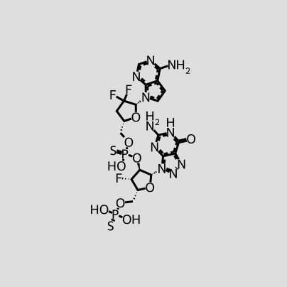 Nc1nc2c(nnn2[C@@H]2O[C@H](COP(O)(O)=S)[C@H](F)[C@H]2OP(O)(=S)OC[C@@H]2CC(F)(F)[C@H](n3ccc4c(N)ncnc43)O2)c(=O)[nH]1